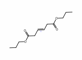 CCCOC(=O)C/C=C/CC(=O)OCCC